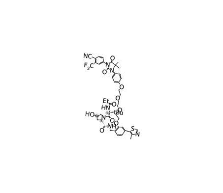 CCC(=O)N[C@H](C(=O)N1C[C@H](O)C[C@H]1C(=O)NCc1ccc(-c2scnc2C)cc1OCCOCCOCCOc1ccc(N2C(=O)N(c3ccc(C#N)c(C(F)(F)F)c3)C(=O)C2(C)C)cc1)C(C)(C)C